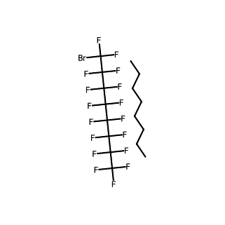 CCCCCCCC.FC(F)(F)C(F)(F)C(F)(F)C(F)(F)C(F)(F)C(F)(F)C(F)(F)C(F)(F)Br